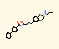 CCCN[C@H]1CCc2cc(CCCC(Br)NC(=O)c3ccc(-c4ccccc4)cc3)ccc2C1